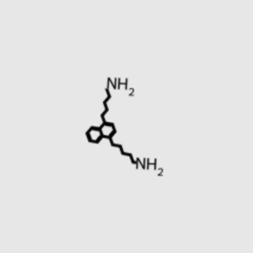 NCCCCCc1ccc(CCCCCN)c2ccccc12